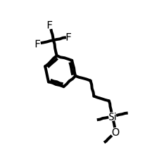 CO[Si](C)(C)CCCc1cccc(C(F)(F)F)c1